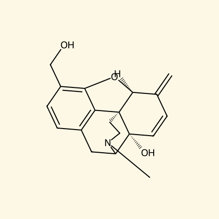 C=C1C=C[C@@]2(O)C3Cc4ccc(CO)c5c4[C@@]2(CCN3C)[C@H]1O5